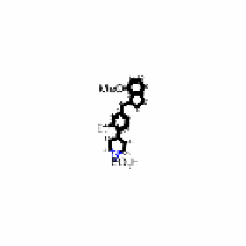 CCc1cc(CC2CCc3cccc(OC)c32)ccc1C1CCN(C(=O)O)CC1